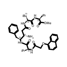 CC[C@H](C)[C@H](NC(=O)C[C@H](N)[C@H](Cc1ccccc1)NC(=O)[C@@H](NC(=O)COc1cccc2ccccc12)C(C)C)C(=O)N[C@H](C(=O)OC)C(C)C